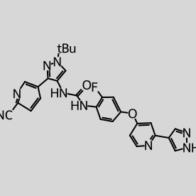 CC(C)(C)n1cc(NC(=O)Nc2ccc(Oc3ccnc(-c4cn[nH]c4)c3)cc2F)c(-c2ccc(C#N)nc2)n1